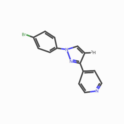 [2H]c1cn(-c2ccc(Br)cc2)nc1-c1ccncc1